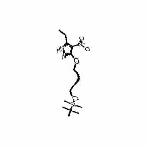 CCc1[nH]nc(OCCCO[Si](C)(C)C(C)(C)C)c1[N+](=O)[O-]